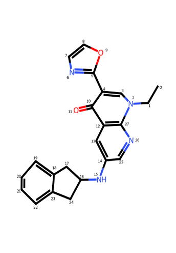 CCn1cc(-c2ncco2)c(=O)c2cc(NC3Cc4ccccc4C3)cnc21